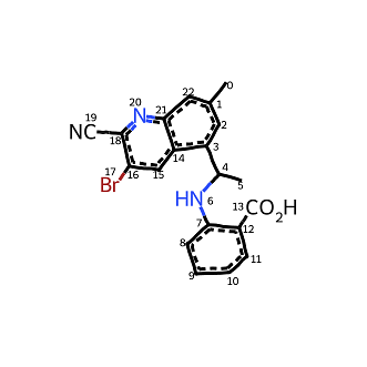 Cc1cc(C(C)Nc2ccccc2C(=O)O)c2cc(Br)c(C#N)nc2c1